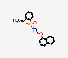 C=Cc1ccccc1S(=O)(=O)NCCOc1cccc2ccccc12